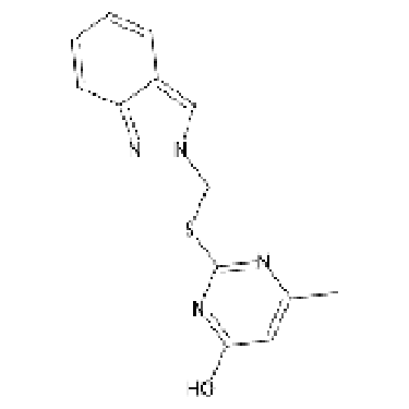 Cc1cc(O)nc(SCn2cc3ccccc3n2)n1